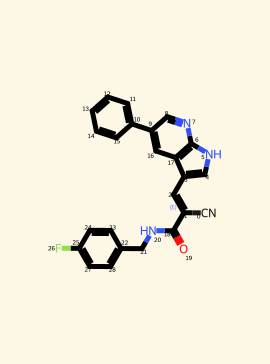 N#C/C(=C\c1c[nH]c2ncc(-c3ccccc3)cc12)C(=O)NCc1ccc(F)cc1